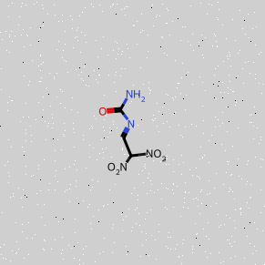 NC(=O)N=CC([N+](=O)[O-])[N+](=O)[O-]